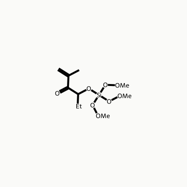 C=C(C)C(=O)C(CC)O[Si](OOC)(OOC)OOC